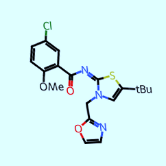 COc1ccc(Cl)cc1C(=O)N=c1sc(C(C)(C)C)cn1Cc1ncco1